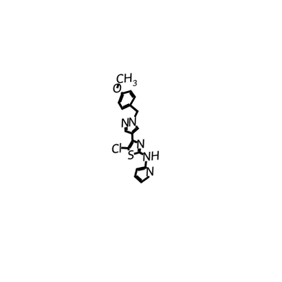 COc1ccc(Cn2cc(-c3nc(Nc4ccccn4)sc3Cl)cn2)cc1